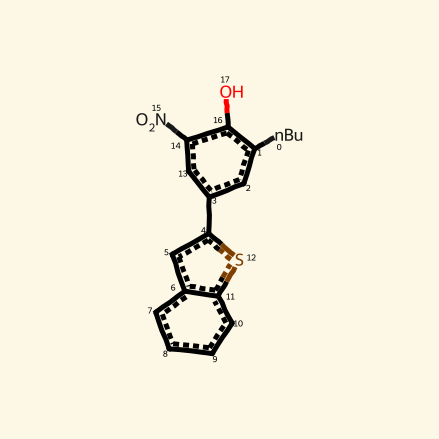 CCCCc1cc(-c2cc3ccccc3s2)cc([N+](=O)[O-])c1O